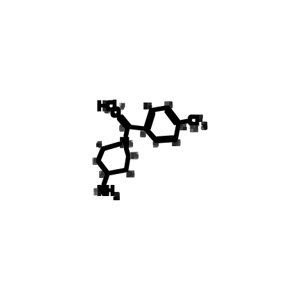 Cl.NC1CCN(C(=O)c2ccc(C(F)(F)F)cc2)CC1